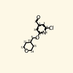 O=Cc1cc(Cl)nc(OCC2CCOCC2)c1